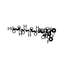 CC(C)(C)[C@H](c1cc(-c2cc(F)ccc2F)cn1Cc1ccccc1)N(CC[C@H](N)CNC(=O)CCC(=O)NCCNC(=O)CNC(=O)CCC(=O)O)C(=O)CO